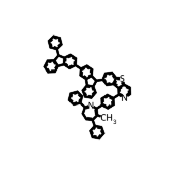 CC1=C(c2ccc(-c3nccc4sc5ccc(C6c7ccccc7-c7cc(-c8ccc9c(c8)-c8ccccc8C9c8ccccc8)ccc76)cc5c34)cc2)N=C(c2ccccc2)CC=C1c1ccccc1